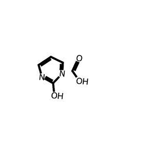 O=CO.Oc1ncccn1